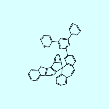 C1=Cc2ccc(-c3nc(-c4ccccc4)cc(-c4cccnc4)n3)cc2C2(c3ccccc31)c1ccccc1-c1c2ccc2c1oc1ccccc12